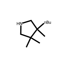 CCCCC1(C)CNCC1(C)C